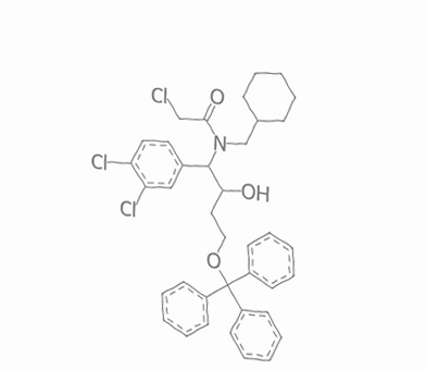 O=C(CCl)N(CC1CCCCC1)C(c1ccc(Cl)c(Cl)c1)C(O)CCOC(c1ccccc1)(c1ccccc1)c1ccccc1